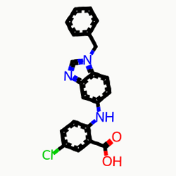 O=C(O)c1cc(Cl)ccc1Nc1ccc2c(c1)ncn2Cc1ccccc1